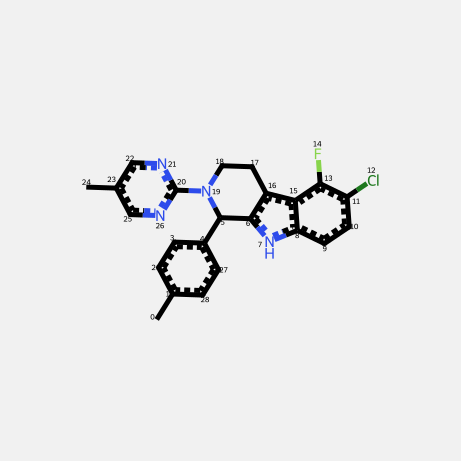 Cc1ccc(C2c3[nH]c4ccc(Cl)c(F)c4c3CCN2c2ncc(C)cn2)cc1